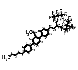 CCCCCc1ccc(-c2ccc(-c3ccc(CCC(COC(F)(C(F)(F)F)C(F)(F)F)COC(C(F)(F)F)(C(F)(F)F)C(F)(F)F)cc3)c(CC)c2)cc1